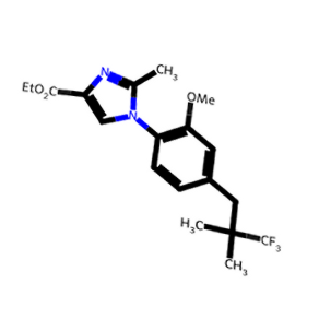 CCOC(=O)c1cn(-c2ccc(CC(C)(C)C(F)(F)F)cc2OC)c(C)n1